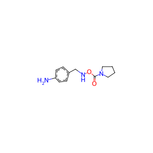 Nc1ccc(CNOC(=O)N2CCCC2)cc1